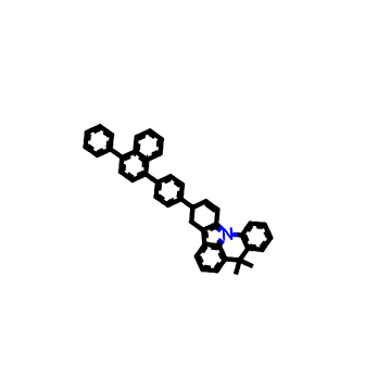 CC1(C)c2ccccc2-n2c3c(c4cccc1c42)CC(c1ccc(-c2ccc(-c4ccccc4)c4ccccc24)cc1)C=C3